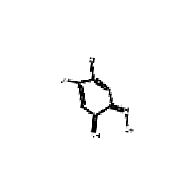 N=C1C=C(Br)C(Cl)=C/C1=N/O